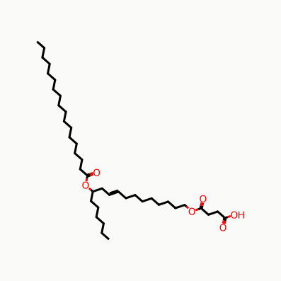 CCCCCCCCCCCCCCCCCC(=O)OC(CC=CCCCCCCCCOC(=O)CCC(=O)O)CCCCCC